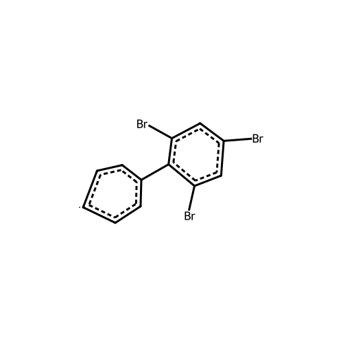 Brc1cc(Br)c(-c2cc[c]cc2)c(Br)c1